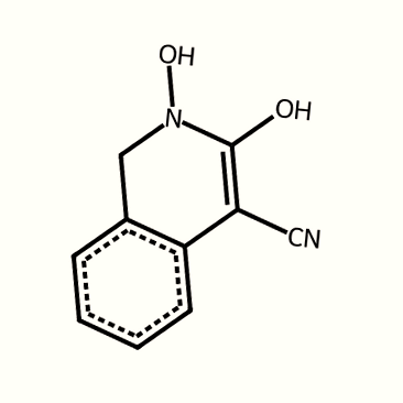 N#CC1=C(O)N(O)Cc2ccccc21